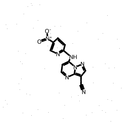 N#Cc1cnn2c(Nc3ccc([N+](=O)[O-])cn3)ccnc12